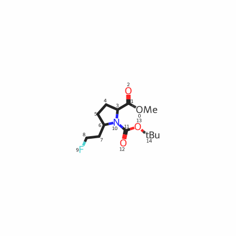 COC(=O)C1CCC(CCF)N1C(=O)OC(C)(C)C